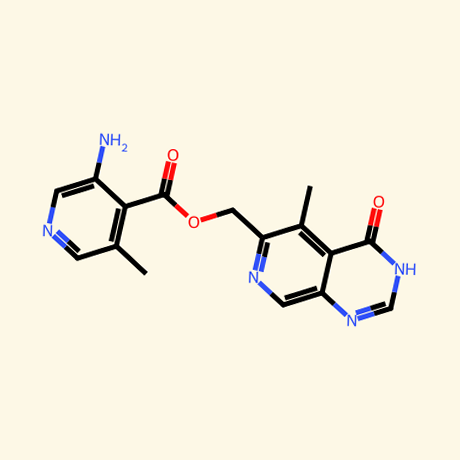 Cc1cncc(N)c1C(=O)OCc1ncc2nc[nH]c(=O)c2c1C